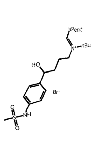 CCCCCC=[N+](CCCC)CCCC(O)c1ccc(NS(C)(=O)=O)cc1.[Br-]